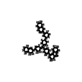 c1cc(-c2ccc(N(c3ccc(-c4ccc5ccccc5c4)cc3)c3ccc(-c4cccc5sc6ccccc6c45)cc3)cc2)cc(-c2ccc3ccccc3c2)c1